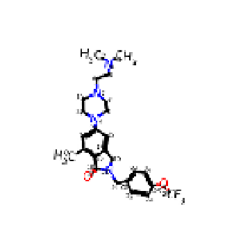 Cc1cc(N2CCN(CCN(C)C)CC2)cc2c1C(=O)N(Cc1ccc(OC(F)(F)F)cc1)C2